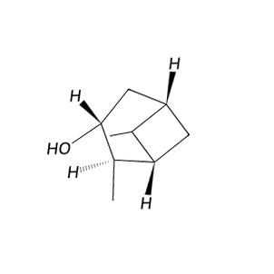 CC1[C@@H]2C[C@@H](O)[C@H](C)[C@H]1C2